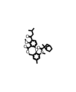 COc1c(C(=O)CC(C)C)ccc2c1C(=O)OCc1cc(C)cc(N(C)C(=O)C3(C)CC4CCC3C4)c1O2